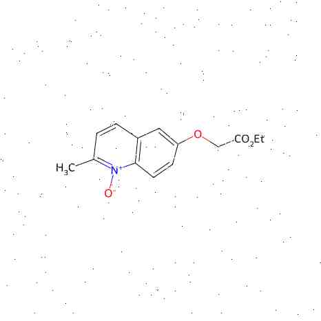 CCOC(=O)COc1ccc2c(ccc(C)[n+]2[O-])c1